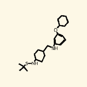 CC(C)(C)SNC1CCC(CNc2cccc(OC3CCCCC3)c2)CC1